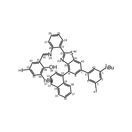 CCCCc1cc(I)cc(-c2cc(-c3cccc4ccccc34)c3nc(-c4ccccc4/N=C/c4cc(I)cc(CCCC)c4O)sc3c2)c1